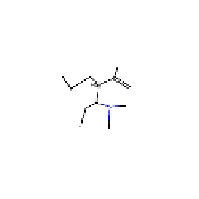 C=C(C)[SiH](CCC)C(CC)N(C)C